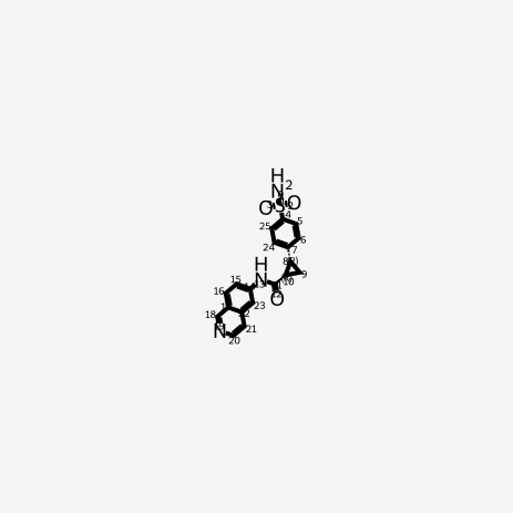 NS(=O)(=O)c1ccc([C@@H]2C[C@H]2C(=O)Nc2ccc3cnccc3c2)cc1